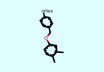 CCCCCCc1ccc(COc2ccc(C)c(C)c2)cc1